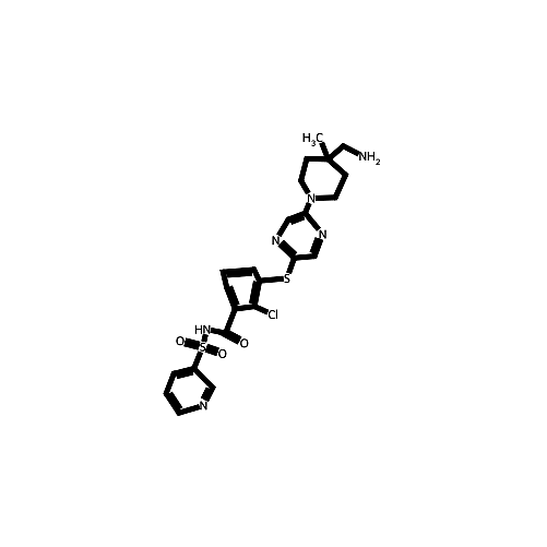 CC1(CN)CCN(c2cnc(Sc3cccc(C(=O)NS(=O)(=O)c4cccnc4)c3Cl)cn2)CC1